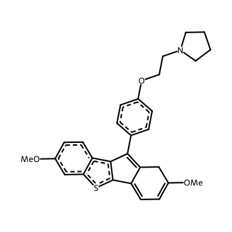 COC1=CC=C2C(=C(c3ccc(OCCN4CCCC4)cc3)c3c2sc2cc(OC)ccc32)C1